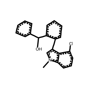 Cn1cc(-c2ccccc2C(O)c2ccccc2)c2c(Cl)cccc21